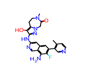 Cc1ccncc1-c1cc2cc(Nc3nn4c(c3O)CCN(C)C(=O)C4)ncc2c(N)c1F